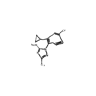 CCc1ccc(-n2nc(C(F)(F)F)nc2NC)c(C2CC2)c1